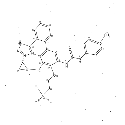 Cc1ccc(NC(=O)Nc2cc(-c3ccccc3-c3nnn[nH]3)cc(CC3CC3)c2OCCC(F)(F)F)cc1